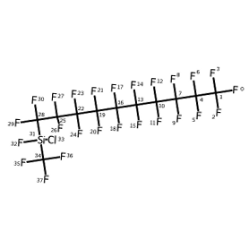 FC(F)(F)C(F)(F)C(F)(F)C(F)(F)C(F)(F)C(F)(F)C(F)(F)C(F)(F)C(F)(F)C(F)(F)[Si](F)(Cl)C(F)(F)F